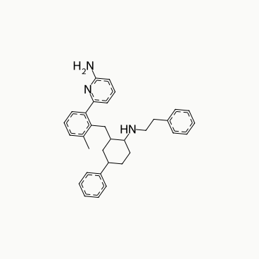 Cc1cccc(-c2cccc(N)n2)c1CC1CC(c2ccccc2)CCC1NCCc1ccccc1